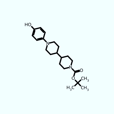 CC(C)(C)OC(=O)N1CCC(C2CCN(c3ccc(O)cc3)CC2)CC1